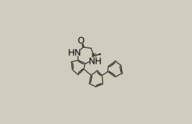 C[C@@H]1CC(=O)Nc2cccc(-c3cccc(-c4ccccc4)c3)c2N1